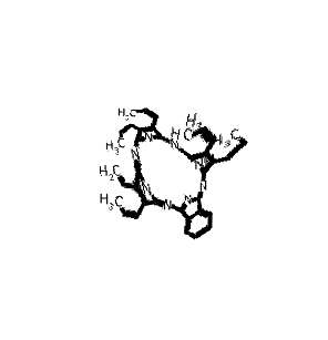 C=Cc1c(/C=C\C)/c2[nH]/c1=N\C1=NC(Nc3[nH]c(c(/C=C\C)c3/C=C\C)/N=C3N=C(/N=2)c2ccccc2\3)C(/C=C\C)=C1/C=C\C